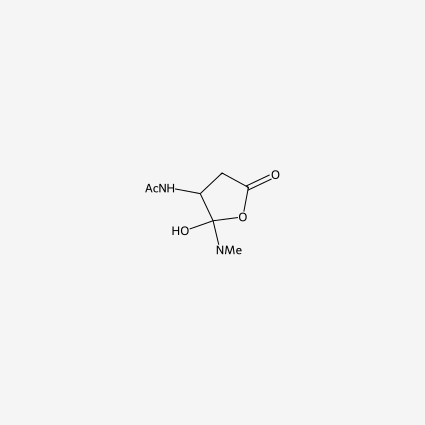 CNC1(O)OC(=O)CC1NC(C)=O